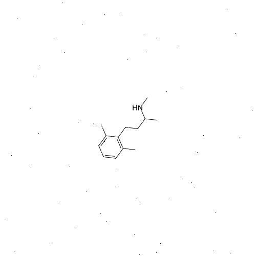 CNC(C)CCc1c(C)cccc1C